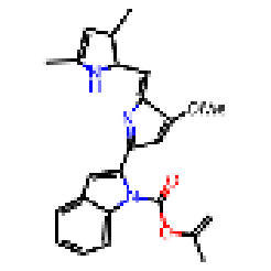 C=C(C)OC(=O)n1c(C2=N/C(=C\C3NC(C)=CC3C)C(OC)=C2)cc2ccccc21